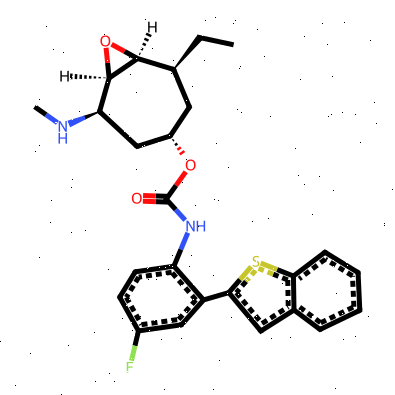 CC[C@H]1C[C@H](OC(=O)Nc2ccc(F)cc2-c2cc3ccccc3s2)C[C@@H](NC)[C@H]2O[C@@H]12